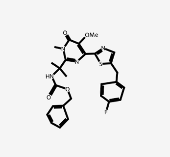 COc1c(-c2ncc(Cc3ccc(F)cc3)s2)nc(C(C)(C)NC(=O)OCc2ccccc2)n(C)c1=O